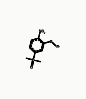 CC(C)Oc1cc(P(C)(C)=O)ccc1[N+](=O)[O-]